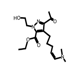 CCOC(=O)c1c(CCC/C=C\N(C)C)c(C(C)=O)nn1CCO